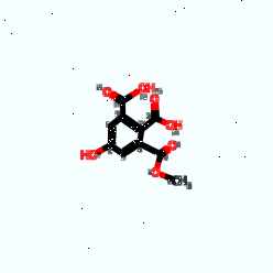 COC(=O)c1cc(O)cc(C(=O)O)c1C(=O)O